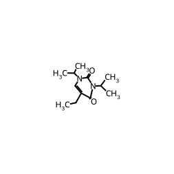 CCc1cn(C(C)C)c(=O)n(C(C)C)c1=O